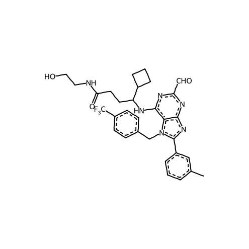 Cc1cccc(-c2nc3nc(C=O)nc(NC(CCC(=O)NCCO)C4CCC4)c3n2Cc2ccc(C(F)(F)F)cc2)c1